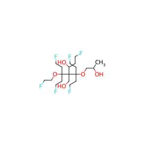 CC(O)COC(CCF)(CCF)C(CO)(C(O)CCF)C(CCF)(CCF)OCCF